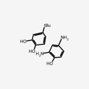 CC(C)(C)c1ccc(O)c(O)c1.Nc1ccc(O)c(N)c1